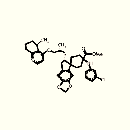 COC(=O)C1(Nc2cccc(Cl)c2)CCC2(CC1)c1cc3c(cc1C[C@@H]2C[C@@H](C)COc1ccnc2c1[C@H](C)CCC2)OCO3